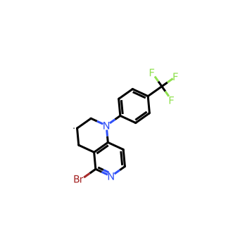 FC(F)(F)c1ccc(N2C[CH]Cc3c2ccnc3Br)cc1